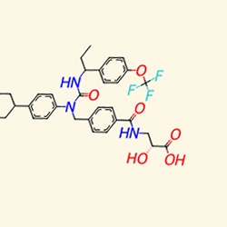 CCC(NC(=O)N(Cc1ccc(C(=O)NC[C@@H](O)C(=O)O)cc1)c1ccc(C2CCCCC2)cc1)c1ccc(OC(F)(F)F)cc1